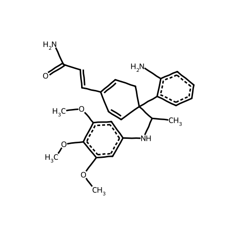 COc1cc(NC(C)C2(c3ccccc3N)C=CC(C=CC(N)=O)=CC2)cc(OC)c1OC